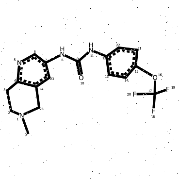 CN1CCc2ncc(NC(=O)Nc3ccc(OC(F)(F)F)cc3)cc2C1